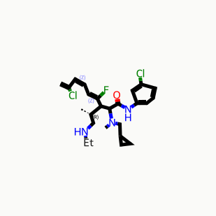 C=C(Cl)/C=C\C=C(/F)C(C(C(=O)Nc1cccc(Cl)c1)N(C)CC1CC1)[C@@H](C)CNCC